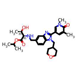 Cc1cc(-c2nc3cc(CN[C@@H](C(=O)OC(C)C)[C@@H](C)O)ccc3n2CC2CCOCC2)cn(C)c1=O